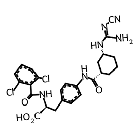 N#C/N=C(\N)N[C@@H]1CCC[C@H](C(=O)Nc2ccc(C[C@H](NC(=O)c3c(Cl)cccc3Cl)C(=O)O)cc2)C1